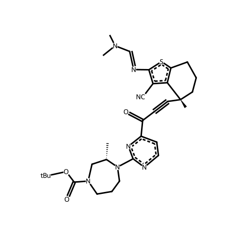 C[C@H]1CN(C(=O)OC(C)(C)C)CCCN1c1nccc(C(=O)C#C[C@@]2(C)CCCc3sc(/N=C/N(C)C)c(C#N)c32)n1